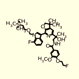 COc1cc(C(=O)NCC(C)(O)c2cc3c(c(-c4cn(COCC[Si](C)(C)C)c5c(F)cccc45)n2)OCC3(C)C)ccc1OCCF